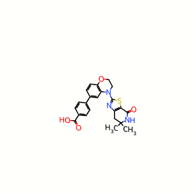 CC1(C)Cc2nc(N3CCOc4ccc(-c5ccc(C(=O)O)cc5)cc43)sc2C(=O)N1